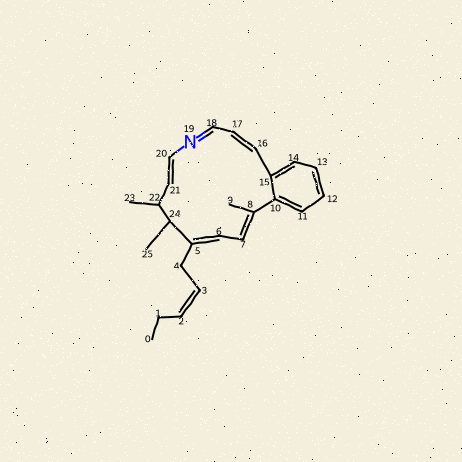 CC/C=C\C/C1=C\C=C(/C)c2ccccc2\C=C/C=N/C=C/C(C)C1C